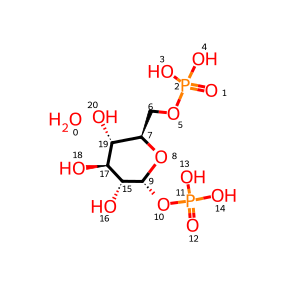 O.O=P(O)(O)OC[C@H]1O[C@H](OP(=O)(O)O)[C@H](O)[C@@H](O)[C@@H]1O